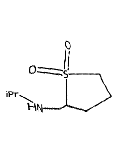 CC(C)NC1CCCS1(=O)=O